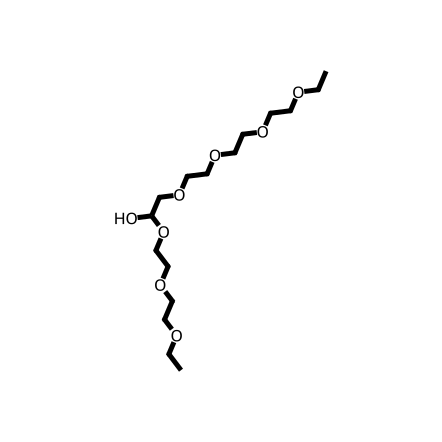 CCOCCOCCOCCOCC(O)OCCOCCOCC